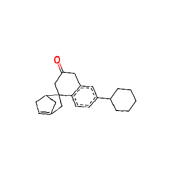 O=C1Cc2cc(C3CCCCC3)ccc2C2(C1)CC1=CCC2C1